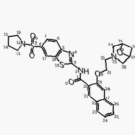 O=C(Nc1nc2ccc(S(=O)(=O)N3CCCC3)cc2s1)c1cc2ccccc2cc1OCCN1CC2CC(C1)O2